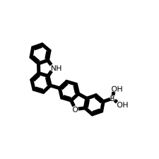 OB(O)c1ccc2oc3cc(-c4cccc5c4[nH]c4ccccc45)ccc3c2c1